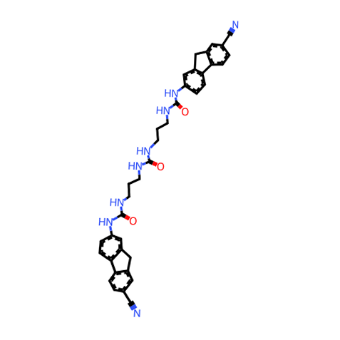 N#Cc1ccc2c(c1)Cc1cc(NC(=O)NCCCNC(=O)NCCCNC(=O)Nc3ccc4c(c3)Cc3cc(C#N)ccc3-4)ccc1-2